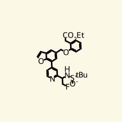 CCOC(=O)Cc1ccccc1OCc1cc(-c2ccnc(C(CF)N[S+]([O-])C(C)(C)C)c2)c2occc2c1